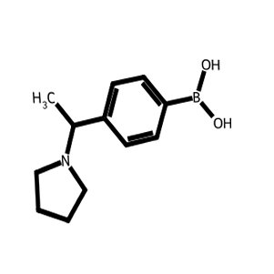 CC(c1ccc(B(O)O)cc1)N1CCCC1